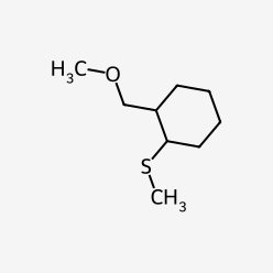 COCC1CCCCC1SC